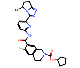 C[C@H]1CCc2nnc(-c3cccc(NC(=O)c4cc5c(cc4F)CCN(C(=O)OC4CCCC4)C5)n3)n21